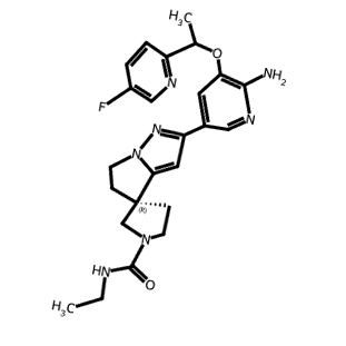 CCNC(=O)N1CC[C@@]2(CCn3nc(-c4cnc(N)c(OC(C)c5ccc(F)cn5)c4)cc32)C1